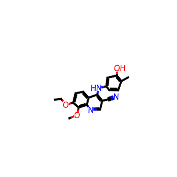 CCOc1ccc2c(Nc3ccc(C)c(O)c3)c(C#N)cnc2c1OC